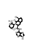 Cc1ncccc1-n1c([C@H](C)Nc2ncnc3[nH]cnc23)cc2cccc(Cl)c2c1=O